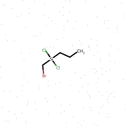 CCC[Si](Cl)(Cl)CBr